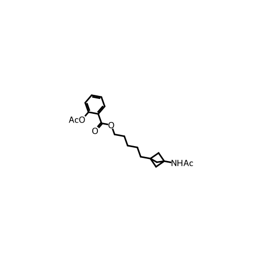 CC(=O)NC12CC(CCCCCOC(=O)c3ccccc3OC(C)=O)(C1)C2